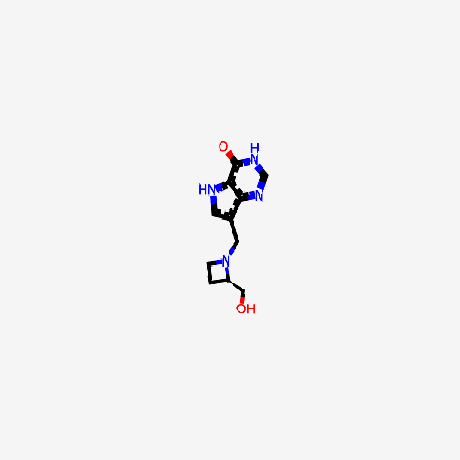 O=c1[nH]cnc2c(CN3CC[C@@H]3CO)c[nH]c12